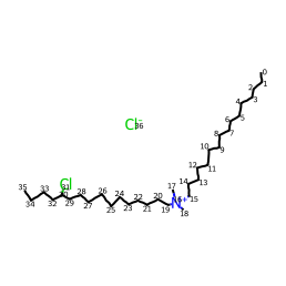 CCCCCCCCCCCCCCCC[N+](C)(C)CCCCCCCCCCCC(Cl)CCCC.[Cl-]